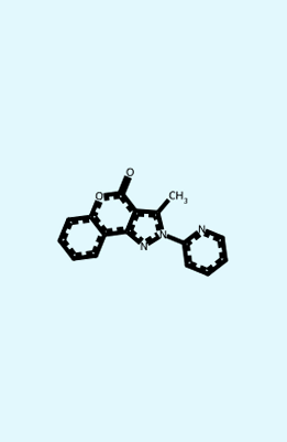 Cc1c2c(=O)oc3ccccc3c2nn1-c1ccccn1